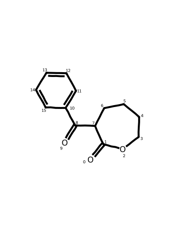 O=C1OCCCCC1C(=O)c1ccccc1